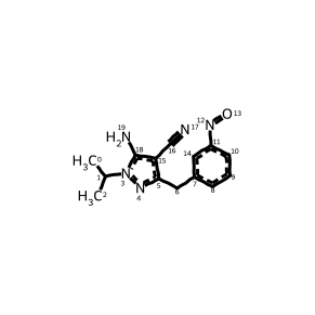 CC(C)n1nc(Cc2cccc(N=O)c2)c(C#N)c1N